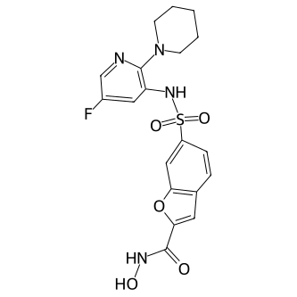 O=C(NO)c1cc2ccc(S(=O)(=O)Nc3cc(F)cnc3N3CCCCC3)cc2o1